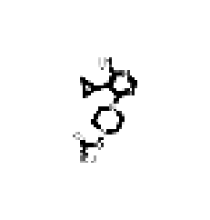 CC(C)(C)C(=O)ON1CCN(c2ncnc(N)c2C2CC2)CC1